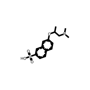 CC(CN(C)C)Oc1ccc2ccc(S(=O)(=O)O)cc2c1